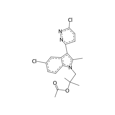 CC(=O)OC(C)(C)Cn1c(C)c(-c2ccc(Cl)nn2)c2cc(Cl)ccc21